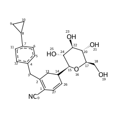 N#CC1=C(Cc2ccc(C3CC3)cc2)CC([C@@H]2O[C@H](CO)[C@@H](O)[C@H](O)[C@H]2O)C=C1